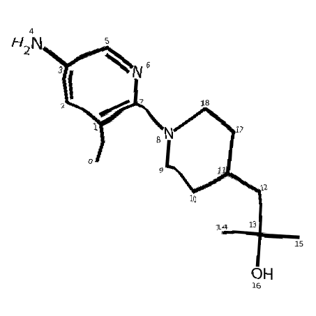 Cc1cc(N)cnc1N1CCC(CC(C)(C)O)CC1